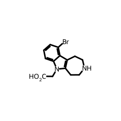 O=C(O)Cn1c2c(c3c(Br)cccc31)CCNCC2